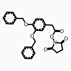 O=C(Cc1ccc(OCc2ccccc2)c(OCc2ccccc2)c1)ON1C(=O)CCC1=O